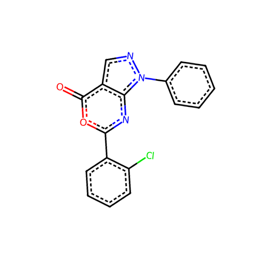 O=c1oc(-c2ccccc2Cl)nc2c1cnn2-c1ccccc1